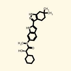 CN(C(=O)[C@H](O)C1CCCCC1)c1ccc2cc(-c3n[nH]c4c3CCC(C)(C)C4)[nH]c2c1